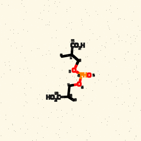 CC(CO[PH](=O)OCC(C)C(=O)O)C(=O)O